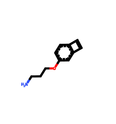 NCCCOc1ccc2c(c1)C=C2